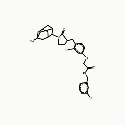 O=C(COc1ccc(CC2CCN(C3C4CC5CC3CC(O)(C5)C4)C2=O)c(Cl)c1)NCc1cccc(Cl)c1